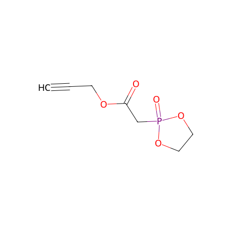 C#CCOC(=O)CP1(=O)OCCO1